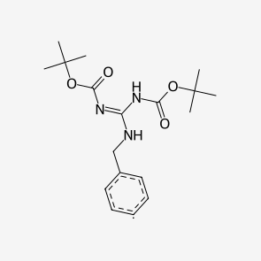 CC(C)(C)OC(=O)N=C(NCc1cc[c]cc1)NC(=O)OC(C)(C)C